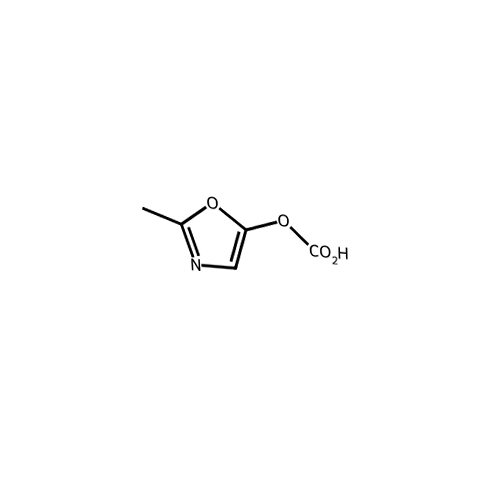 Cc1ncc(OC(=O)O)o1